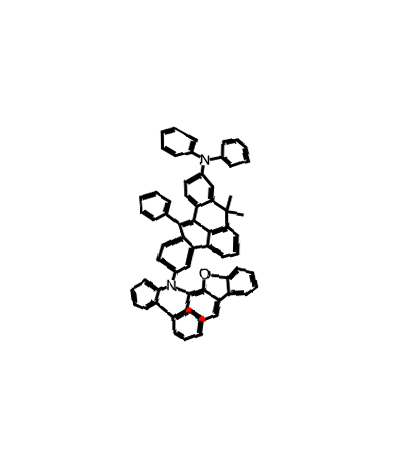 CC1(C)c2cc(N(c3ccccc3)c3ccccc3)ccc2-c2c(-c3ccccc3)c3ccc(N(c4ccccc4-c4ccccc4)c4cccc5c4oc4ccccc45)cc3c3cccc1c23